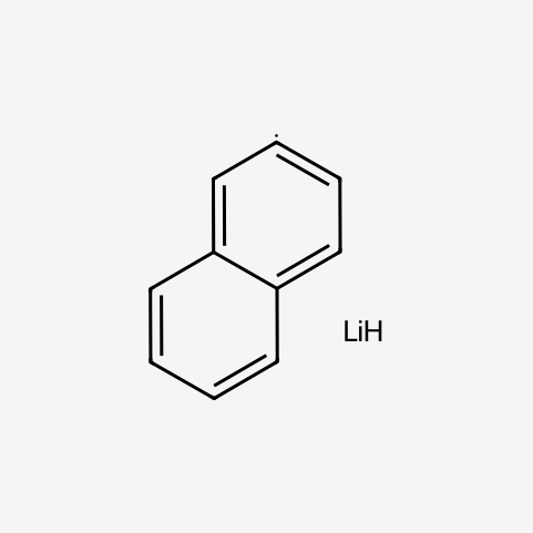 [LiH].[c]1ccc2ccccc2c1